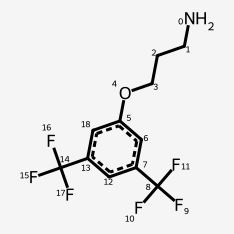 NCCCOc1cc(C(F)(F)F)cc(C(F)(F)F)c1